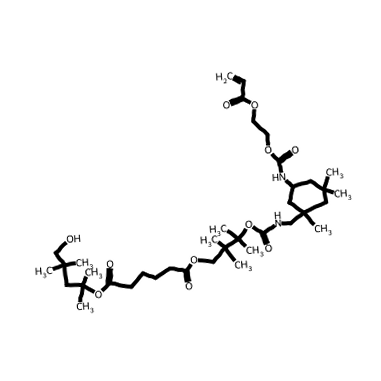 C=CC(=O)OCCOC(=O)NC1CC(C)(C)CC(C)(CNC(=O)OC(C)(C)C(C)(C)COC(=O)CCCCC(=O)OC(C)(C)CC(C)(C)CO)C1